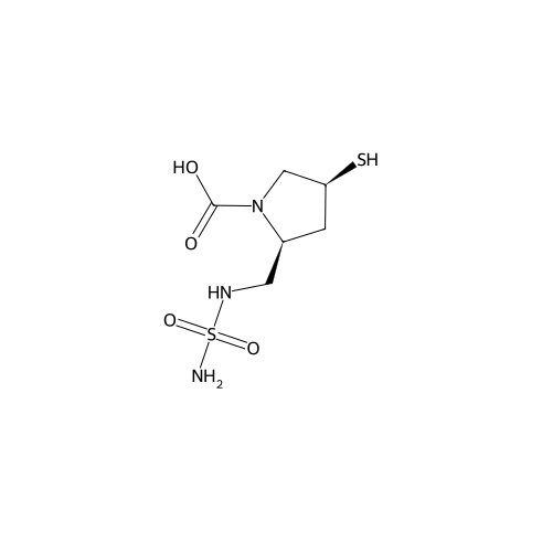 NS(=O)(=O)NC[C@@H]1C[C@H](S)CN1C(=O)O